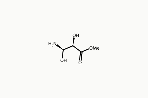 COC(=O)[C@H](O)[C@H](N)O